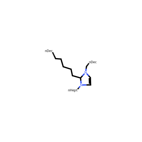 CCCCCCCCCCCCCCCC1N(CCCCCCC)C=CN1CCCCCCCCCCC